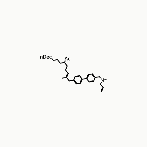 C=CCN(C)Cc1ccc(-c2ccc(CC(C)=CCCC(CCCCCCCCCCCCC)C(C)=O)cc2)cc1